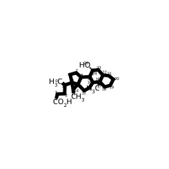 CC(CCC(=O)O)C12CCC3C4C(CCC31C2C)C1(C)CCCCC1C[C@H]4O